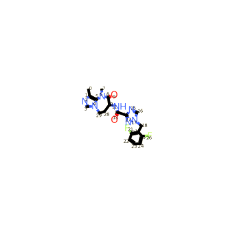 Cc1ncn2c1N(C)C(=O)C(NC(=O)c1ncn(Cc3c(F)cccc3F)n1)CC2